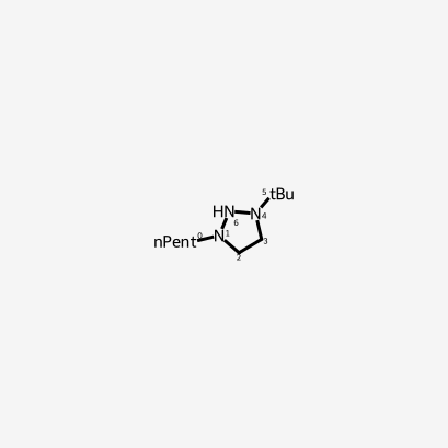 CCCCCN1CCN(C(C)(C)C)N1